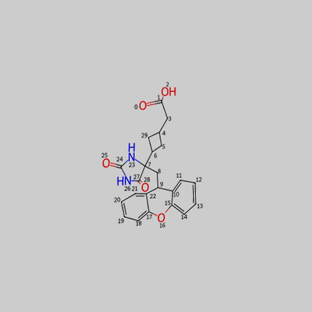 O=C(O)CC1CC(C2(CC3c4ccccc4Oc4ccccc43)NC(=O)NC2=O)C1